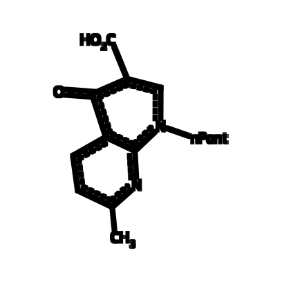 CCCCCn1cc(C(=O)O)c(=O)c2ccc(C)nc21